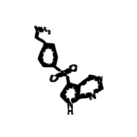 NCc1ccc(S(=O)(=O)c2c[nH]c3ncncc23)cc1